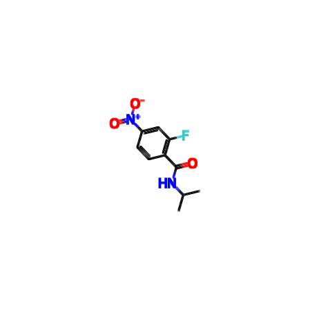 CC(C)NC(=O)c1ccc([N+](=O)[O-])cc1F